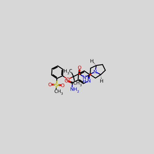 CC(C)(Oc1ccccc1S(C)(=O)=O)C(=O)N[C@H]1C[C@H]2CC[C@@H](C1)N2c1ccc(C(N)=O)cn1